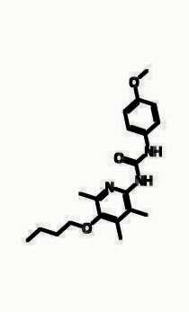 CCCCOc1c(C)nc(NC(=O)Nc2ccc(OC)cc2)c(C)c1C